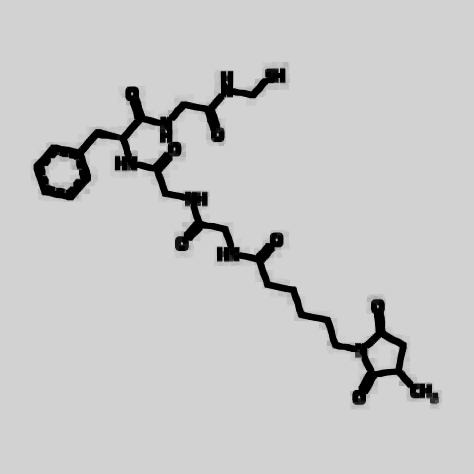 CC1CC(=O)N(CCCCCC(=O)NCC(=O)NCC(=O)N[C@@H](Cc2ccccc2)C(=O)NCC(=O)NCS)C1=O